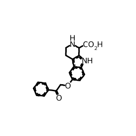 O=C(COc1ccc2[nH]c3c(c2c1)CCNC3C(=O)O)c1ccccc1